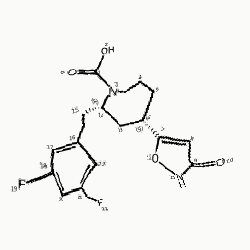 O=C(O)N1CC[C@H](c2cc(=O)[nH]o2)C[C@@H]1Cc1cc(F)cc(F)c1